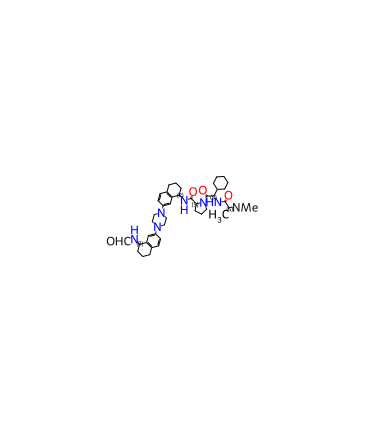 CN[C@@H](C)C(=O)N[C@H](C(=O)N1CCC[C@H]1C(=O)N[C@@H]1CCCc2ccc(N3CCN(c4ccc5c(c4)[C@H](NC=O)CCC5)CC3)cc21)C1CCCCC1